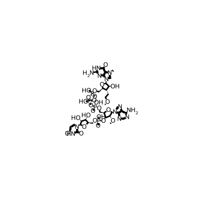 COCC[C@H]1[C@@H](O)[C@H](n2c[n+](C)c3c(=O)[nH]c(N)nc32)O[C@@H]1COP(=O)(O)OP(=O)(O)OP(=O)(O)OC[C@H]1O[C@@H](n2cnc3c(N)ncnc32)[C@H](OC)[C@@H]1OP(=O)(O)OC[C@H]1O[C@@H](n2ccc(=O)[nH]c2=O)[C@H](O)[C@@H]1O